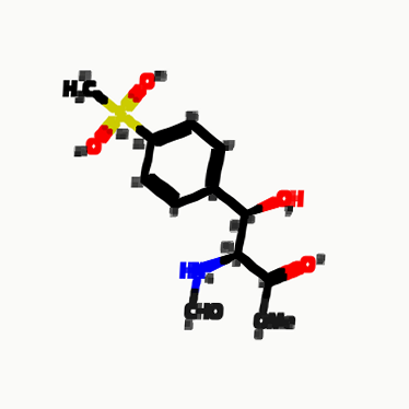 COC(=O)[C@@H](NC=O)[C@H](O)c1ccc(S(C)(=O)=O)cc1